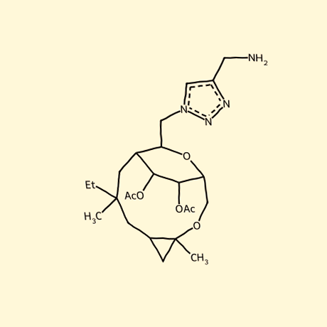 CCC1(C)CC2C(Cn3cc(CN)nn3)OC(COC3(C)CC3C1)C(OC(C)=O)C2OC(C)=O